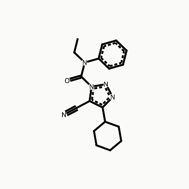 CCN(C(=O)n1nnc(C2CCCCC2)c1C#N)c1ccccc1